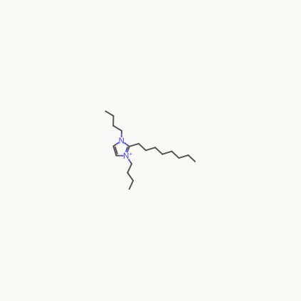 CCCCCCCCc1n(CCCC)cc[n+]1CCCC